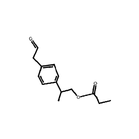 CCC(=O)OCC(C)c1ccc(CC=O)cc1